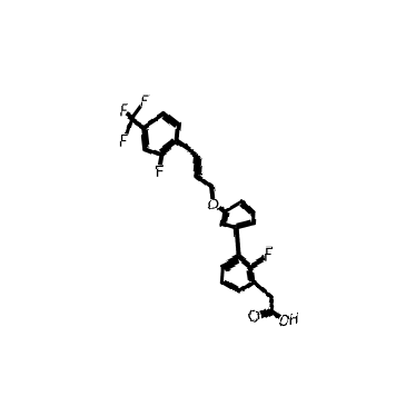 O=C(O)Cc1cccc(-c2cccc(OC/C=C/c3ccc(C(F)(F)F)cc3F)c2)c1F